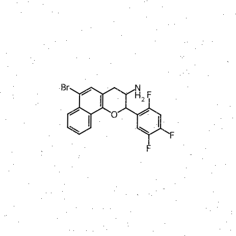 NC1Cc2cc(Br)c3ccccc3c2OC1c1cc(F)c(F)cc1F